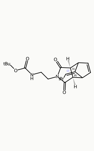 CC(C)/C=C1\C2C=CC1[C@@H]1C(=O)N(CCNC(=O)OC(C)(C)C)C(=O)[C@H]21